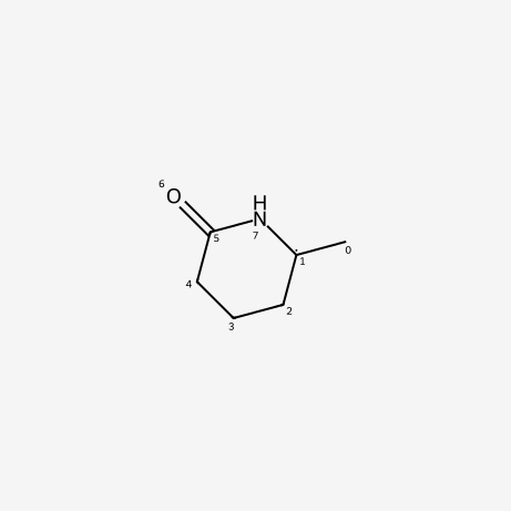 C[C]1CCCC(=O)N1